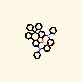 c1ccc(N(c2ccccc2)c2ccc3c4c2oc2c(N(c5ccccc5)c5ccccc5)ccc(c24)C(c2ccccc2)(c2ccccc2)c2ccccc2-3)cc1